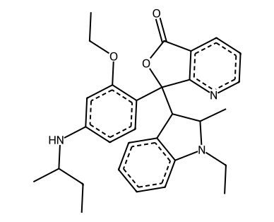 CCOc1cc(NC(C)CC)ccc1C1(C2c3ccccc3N(CC)C2C)OC(=O)c2cccnc21